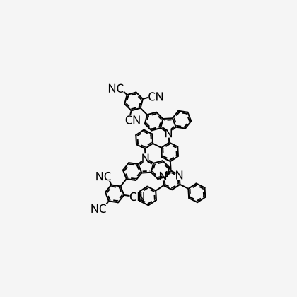 N#Cc1cc(C#N)c(-c2ccc3c(c2)c2ccccc2n3-c2ccccc2-c2cc(-c3nc(-c4ccccc4)cc(-c4ccccc4)n3)ccc2-n2c3ccccc3c3cc(-c4c(C#N)cc(C#N)cc4C#N)ccc32)c(C#N)c1